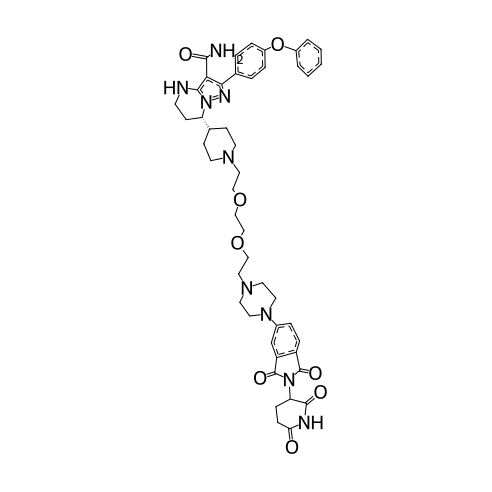 NC(=O)c1c(-c2ccc(Oc3ccccc3)cc2)nn2c1NCC[C@H]2C1CCN(CCOCCOCCN2CCN(c3ccc4c(c3)C(=O)N(C3CCC(=O)NC3=O)C4=O)CC2)CC1